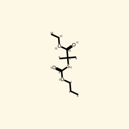 CCCOC(=O)SC(C)(C)C(=O)OCC